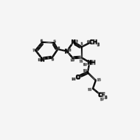 Cc1nn(-c2cccnc2)cc1NC(=O)CCC(F)(F)F